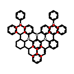 C1=CC(c2cccc(-c3ccccc3)c2N2c3cc(N(c4ccccc4)c4ccccc4)ccc3B3c4ccc(N(c5ccccc5)c5ccccc5)cc4N(C4C(C5CCCCC5)CCCC4C4CCCCC4)c4cc(-c5ccccc5)cc2c43)=CCC1